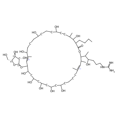 CCCCC1C(=O)OC(C(C)C(O)CCCNC(=N)N)C(C)/C=C(\C)CCCCC(O)CC(O)CC(O)CC(O)CC(O)C(O[C@H]2O[C@H](CO)[C@@H](O)[C@@H]2O)/C=C(\C)C(O)CCCC(O)CCCC(O)CCC(C)C1O